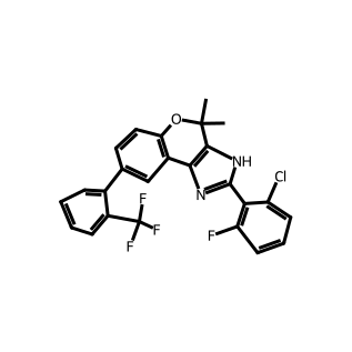 CC1(C)Oc2ccc(-c3ccccc3C(F)(F)F)cc2-c2nc(-c3c(F)cccc3Cl)[nH]c21